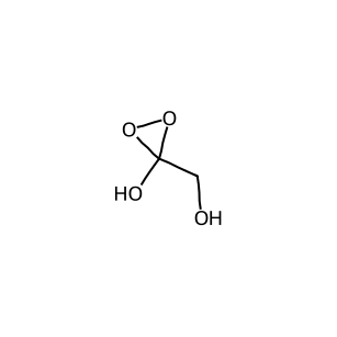 OCC1(O)OO1